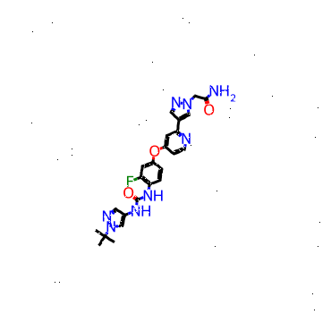 CC(C)(C)n1cc(NC(=O)Nc2ccc(Oc3ccnc(-c4cnn(CC(N)=O)c4)c3)cc2F)cn1